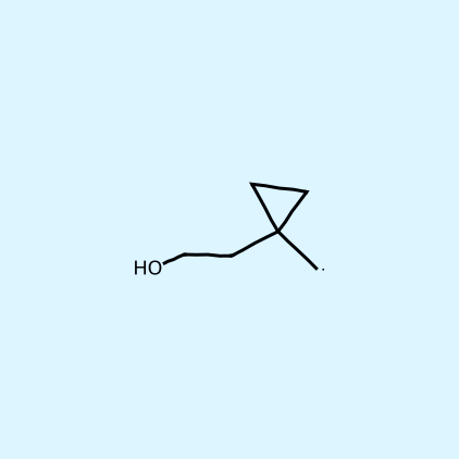 [CH2]C1(CCO)CC1